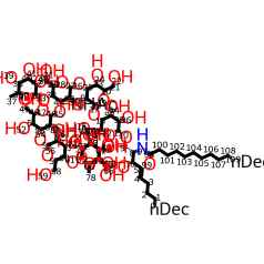 CCCCCCCCCCCCC/C=C/[C@@H](O)[C@H](CO[C@@H]1OC(CO)[C@@H](O[C@@H]2OC(CO)[C@H](O)[C@H](O[C@@H]3OC(CO)[C@@H](O[C@H]4OC(C)[C@@H](O)C(O)[C@@H]4O)[C@H](O[C@@H]4OC(CO)[C@H](O)[C@H](O[C@@H]5OC(CO)[C@@H](O[C@@H]6OC(CO)[C@H](O)[C@H](O)C6O)[C@H](O[C@H]6OC(C)[C@@H](O)C(O)[C@@H]6O)C5NC(C)=O)C4O)C3NC(C)=O)C2O)[C@H](O)C1O)NC(=O)CCCCCCCCCCCCCCCCCCC